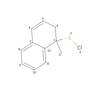 CC1(SCl)CC=Cc2ccccc21